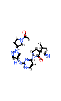 CC(=O)N1CC[C@@H](n2cc(Nc3nccc(N4CC[C@@](C#N)(C(C)C)C4=O)n3)cn2)C1